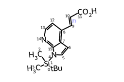 CC(C)(C)[Si](C)(C)n1ccc2c(/C=C/C(=O)O)ccnc21